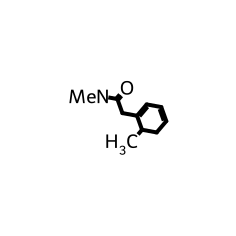 CNC(=O)CC1=CC=CCC1C